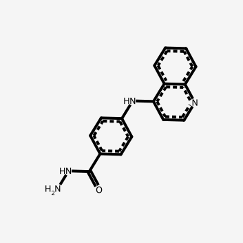 NNC(=O)c1ccc(Nc2ccnc3ccccc23)cc1